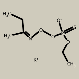 CCOP([O-])(=S)OON=C(C)CC.[K+]